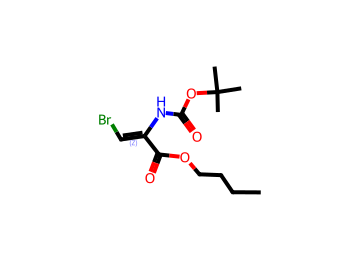 CCCCOC(=O)/C(=C/Br)NC(=O)OC(C)(C)C